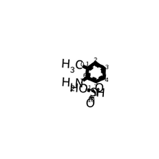 Cc1ccccc1N.O=[SH](=O)O